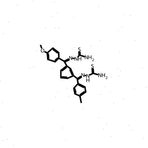 COc1ccc(C(=NNC(N)=S)c2cccc(C(=NNC(N)=S)c3ccc(C)cc3)c2)cc1